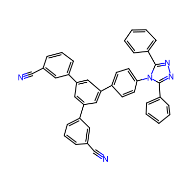 N#Cc1cccc(-c2cc(-c3ccc(-n4c(-c5ccccc5)nnc4-c4ccccc4)cc3)cc(-c3cccc(C#N)c3)c2)c1